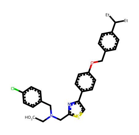 CCC(CC)c1ccc(COc2ccc(-c3csc(CN(CC(=O)O)Cc4ccc(Cl)cc4)n3)cc2)cc1